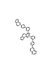 c1cc(-c2ccc(-c3ccc4ccccc4c3)cc2)cc(-c2nc(-c3cccc(-c4ccc(-c5ccc6ccccc6c5)cc4)c3)c3ccc4ccccc4c3n2)c1